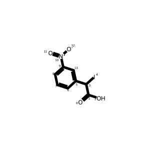 O=C(O)C(I)c1cccc([N+](=O)[O-])c1